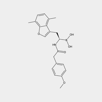 COc1ccc(CC(=O)N[C@@H](Cc2coc3c(C)ccc(C)c23)B(O)O)cc1